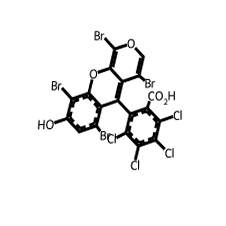 O=C(O)c1c(Cl)c(Cl)c(Cl)c(Cl)c1C1=C2C(Br)=COC(Br)=C2Oc2c(Br)c(O)cc(Br)c21